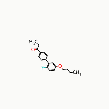 CCCCOc1ccc(F)c(-c2ccc(C(=O)CC)cc2)c1